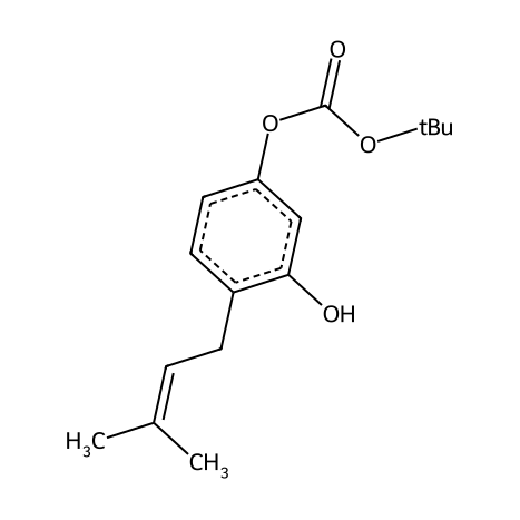 CC(C)=CCc1ccc(OC(=O)OC(C)(C)C)cc1O